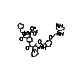 C=C(CN)NCCOc1cccc(C(=O)Nc2c(C)c(C(=O)c3ccc(NC(=O)C(F)(F)F)c(C(=O)OCc4ccccc4)c3)n3ccccc23)c1